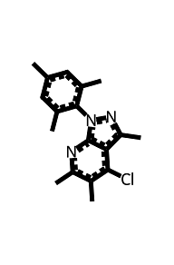 Cc1cc(C)c(-n2nc(C)c3c(Cl)c(C)c(C)nc32)c(C)c1